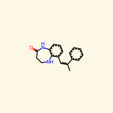 C/C(=C/c1cccc2c1NCCC(=O)N2)c1ccccc1